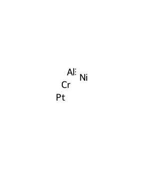 [Al].[Cr].[Ni].[Pt]